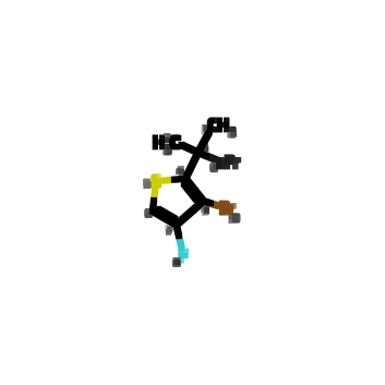 CCCC(C)(C)c1scc(F)c1Br